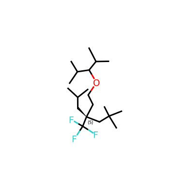 CC(C)C[C@@](CCOC(C(C)C)C(C)C)(CC(C)(C)C)C(F)(F)F